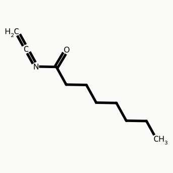 C=C=NC(=O)CCCCCCC